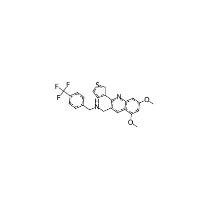 COc1cc(OC)c2cc(CNCc3ccc(C(F)(F)F)cc3)c(-c3ccsc3)nc2c1